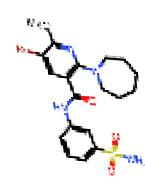 COc1nc(N2CCCCCC2)c(C(=O)Nc2cccc(S(N)(=O)=O)c2)cc1Br